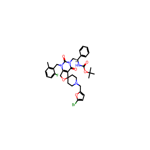 Cc1cccc(F)c1Cn1c2c(c(=O)n(C[C@H](NC(=O)OC(C)(C)C)c3ccccc3)c1=O)C1(CCN(Cc3ccc(Br)o3)CC1)OC2